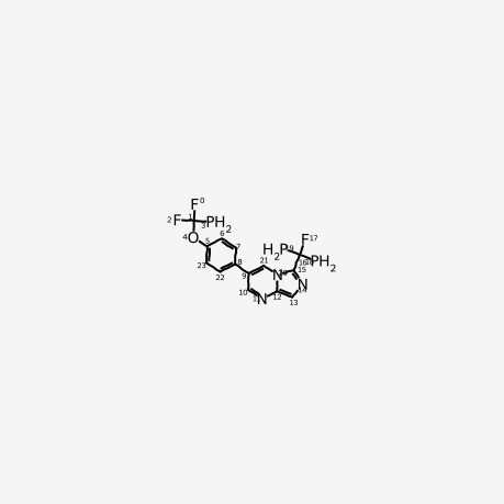 FC(F)(P)Oc1ccc(-c2cnc3cnc(C(F)(P)P)n3c2)cc1